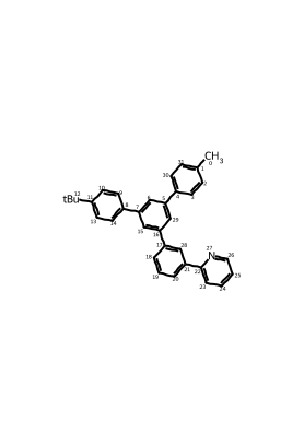 Cc1ccc(-c2cc(-c3ccc(C(C)(C)C)cc3)cc(-c3cccc(-c4ccccn4)c3)c2)cc1